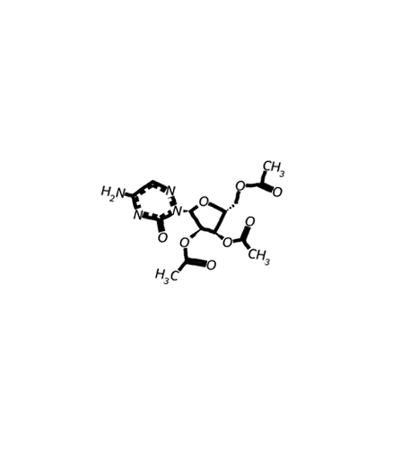 CC(=O)OC[C@H]1O[C@@H](n2ncc(N)nc2=O)[C@H](OC(C)=O)[C@@H]1OC(C)=O